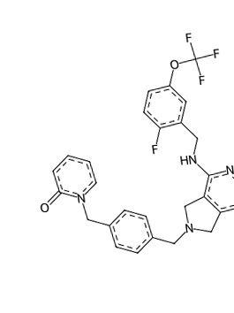 O=c1ccccn1Cc1ccc(CN2Cc3ncnc(NCc4cc(OC(F)(F)F)ccc4F)c3C2)cc1